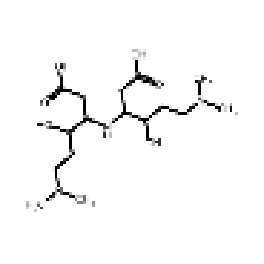 CN(C)CCC(O)C(CC(=O)O)NC(CC(=O)O)C(O)CCN(C)C